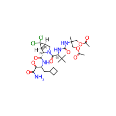 CC(=O)OCC(C)(COC(C)=O)NC(=O)N[C@H](C(=O)N1C[C@H]2[C@@H]([C@H]1C(=O)NC(CC1CCC1)C(=O)C(N)=O)C2(Cl)Cl)C(C)(C)C